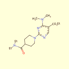 CCOC(=O)c1cnc(N2CCC(C(=O)N(CC)CC)CC2)nc1N(C)C